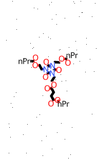 CCCOC(=O)CCC(=O)OCCn1c(=O)n(CCOC(=O)CCC)c(=O)n(CCOC(=O)CCC)c1=O